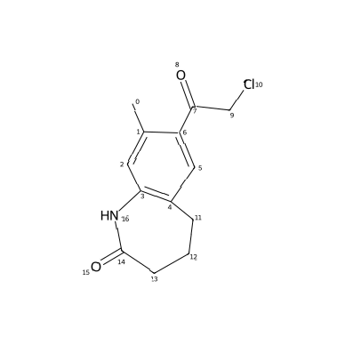 Cc1cc2c(cc1C(=O)CCl)CCCC(=O)N2